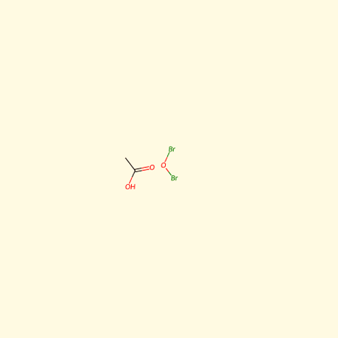 BrOBr.CC(=O)O